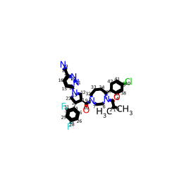 CC(C)C(=O)N1CCN(C(=O)[C@@H]2CN(c3ccc(C#N)nn3)C[C@H]2c2ccc(F)cc2F)CCC[C@H]1C1C=CC(Cl)=CC1